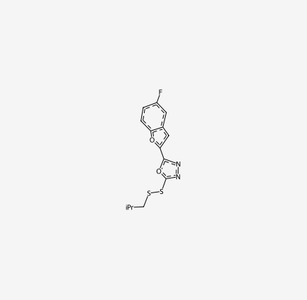 CC(C)CSSc1nnc(-c2cc3cc(F)ccc3o2)o1